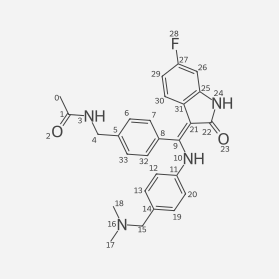 CC(=O)NCc1ccc(/C(Nc2ccc(CN(C)C)cc2)=C2/C(=O)Nc3cc(F)ccc32)cc1